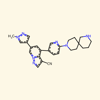 Cn1cc(-c2cc(-c3ccc(N4CCC5(CCCNC5)CC4)nc3)c3c(C#N)cnn3c2)cn1